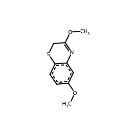 COC1=Nc2cc(OC)ccc2SC1